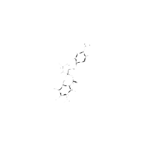 Cc1c(C)c2c(c(C)c1O)C(=O)CC(COc1ccc([N+](=O)[O-])cc1)(CC(C)C)O2